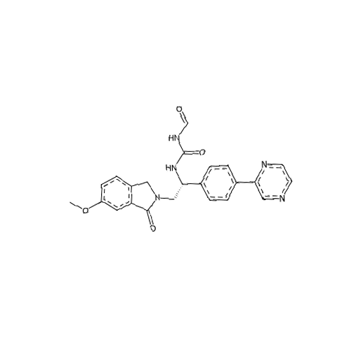 COc1ccc2c(c1)C(=O)N(C[C@H](NC(=O)NC=O)c1ccc(-c3cnccn3)cc1)C2